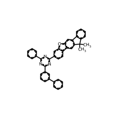 CC1(C)c2ccccc2-c2cc3oc4cc(-c5nc(-c6ccccc6)nc(-c6cccc(-c7ccccc7)c6)n5)ccc4c3cc21